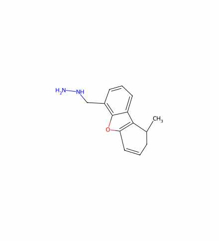 CC1CC=Cc2oc3c(CNN)cccc3c21